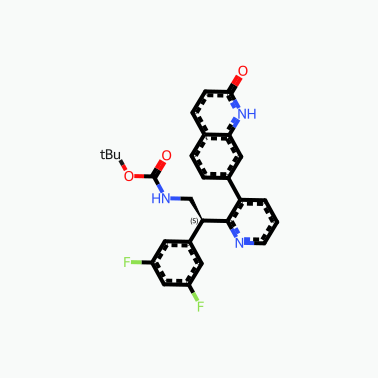 CC(C)(C)OC(=O)NC[C@H](c1cc(F)cc(F)c1)c1ncccc1-c1ccc2ccc(=O)[nH]c2c1